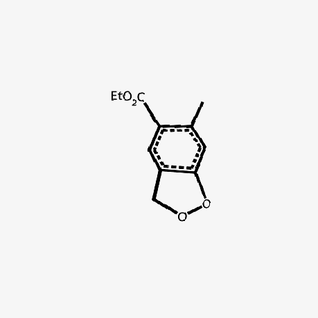 CCOC(=O)c1cc2c(cc1C)OOC2